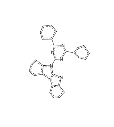 c1ccc(-c2nc(-c3ccccc3)nc(-n3c4ccccc4n4c5ccccc5nc34)n2)cc1